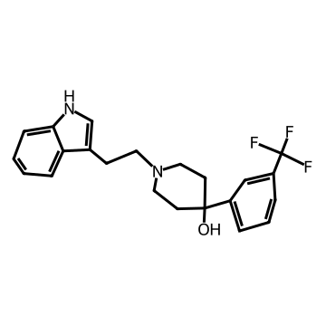 OC1(c2cccc(C(F)(F)F)c2)CCN(CCc2c[nH]c3ccccc23)CC1